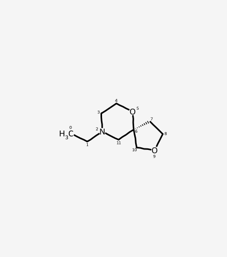 CCN1CCO[C@]2(CCOC2)C1